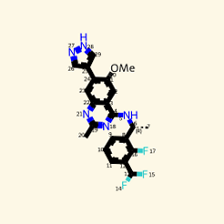 COc1cc2c(N[C@H](C)c3cccc(C(F)F)c3F)nc(C)nc2cc1-c1cn[nH]c1